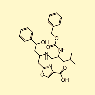 CC(C)CC(CNC(Cc1nc(C(=O)O)co1)CC(O)c1ccccc1)NC(=O)OCc1ccccc1